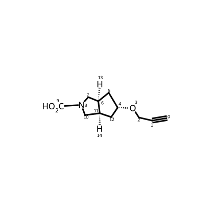 C#CCO[C@H]1C[C@@H]2CN(C(=O)O)C[C@@H]2C1